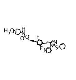 CN1CCC(NC(=O)OCC#Cc2cc(F)c(CCc3cnc(SC4C=CCCC4)n3-c3cccnc3)cc2F)CC1